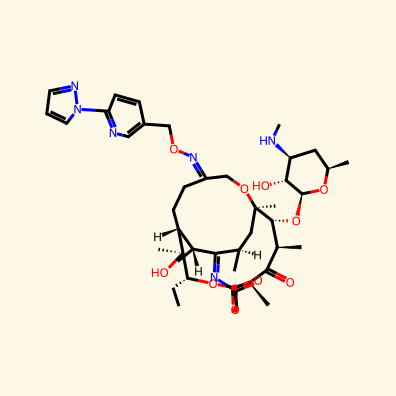 CC[C@H]1OC(=O)[C@H](C)C(=O)[C@H](C)[C@@H](O[C@@H]2O[C@H](C)C[C@H](NC)[C@H]2O)[C@@]2(C)C[C@@H](C)/C(=N\C(C)=O)[C@H](C)[C@@H](CC/C(=N\OCc3ccc(-n4cccn4)nc3)CO2)[C@]1(C)O